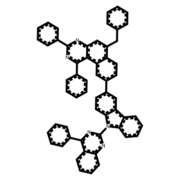 c1ccc(Cc2cc3nc(-c4ccccc4)nc(-c4ccccc4)c3c3cc(-c4ccc5c(c4)c4ccccc4n5-c4nc(-c5ccccc5)c5ccccc5n4)ccc23)cc1